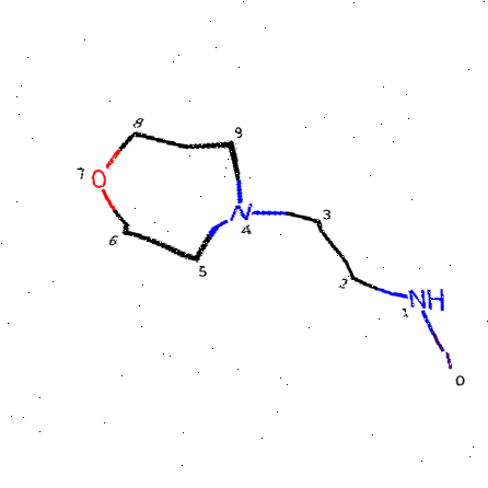 INCCN1CCOCC1